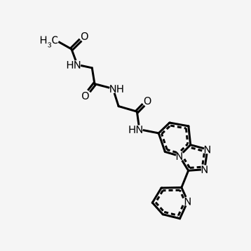 CC(=O)NCC(=O)NCC(=O)Nc1ccc2nnc(-c3ccccn3)n2c1